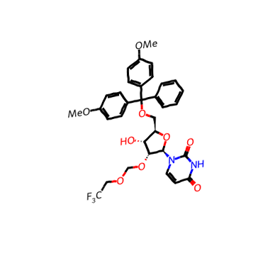 COc1ccc(C(OC[C@H]2O[C@@H](n3ccc(=O)[nH]c3=O)[C@H](OCOCC(F)(F)F)[C@@H]2O)(c2ccccc2)c2ccc(OC)cc2)cc1